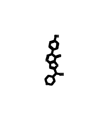 O=c1c2sc(C(O)C3CCOCC3)cc2ncn1-c1ccc(O)cc1